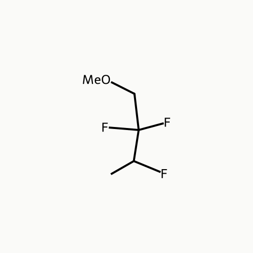 COCC(F)(F)C(C)F